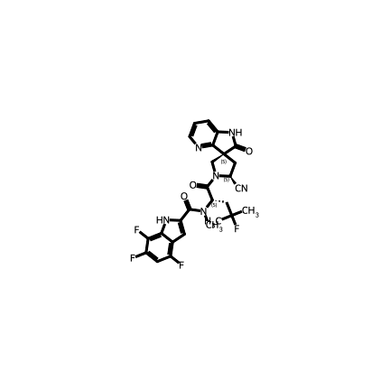 CN(C(=O)c1cc2c(F)cc(F)c(F)c2[nH]1)[C@@H](CC(C)(C)F)C(=O)N1C[C@]2(C[C@H]1C#N)C(=O)Nc1cccnc12